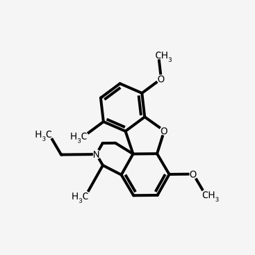 CCN1CCC23C(=CC=C(OC)C2Oc2c(OC)ccc(C)c23)C1C